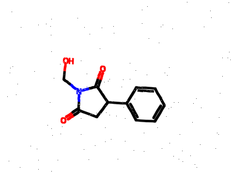 O=C1CC(c2ccccc2)C(=O)N1CO